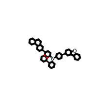 c1ccc(-c2ccccc2N(c2ccc(-c3ccc4c(ccc5ccccc54)c3)cc2)c2ccc(-c3ccc4oc5ccccc5c4c3)cc2)cc1